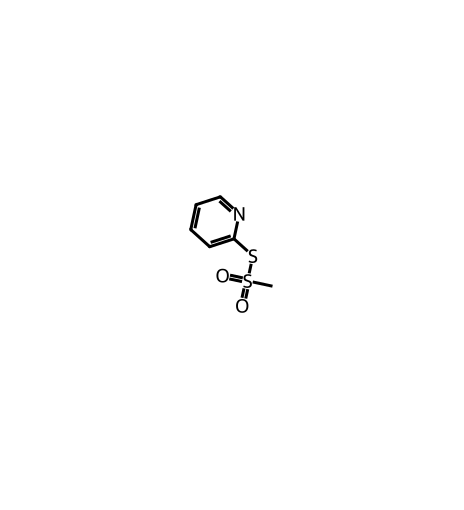 CS(=O)(=O)Sc1ccccn1